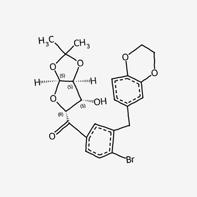 CC1(C)O[C@@H]2O[C@@H](C(=O)c3ccc(Br)c(Cc4ccc5c(c4)OCCO5)c3)[C@@H](O)[C@@H]2O1